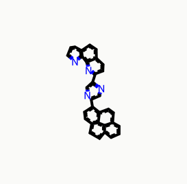 c1cnc2c(c1)ccc1ccc(-c3cnc(-c4ccc5ccc6cccc7ccc4c5c67)cn3)nc12